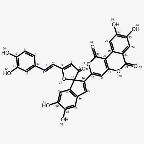 O=C1C=C(/C=C/c2ccc(O)c(O)c2)OC12C(c1cc3oc(=O)c4cc(O)c(O)cc4c3c(=O)o1)=Cc1cc(O)c(O)cc12